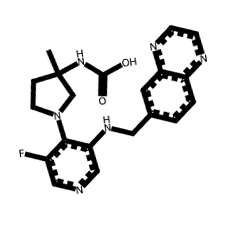 CC1(NC(=O)O)CCN(c2c(F)cncc2NCc2ccc3nccnc3c2)C1